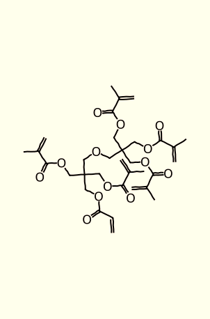 C=CC(=O)OCC(COCC(COC(=O)C(=C)C)(COC(=O)C(=C)C)COC(=O)C(=C)C)(COC(=O)C(=C)C)COC(=O)C(=C)C